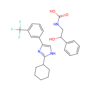 FC(F)(F)c1cccc(-c2c[nH]c(C3CCCCC3)n2)c1.O=C(O)NCC(O)c1ccccc1